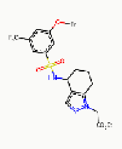 CCOC(=O)Cn1ncc2c1CCCC2NS(=O)(=O)c1cc(OC(C)C)cc(C(F)(F)F)c1